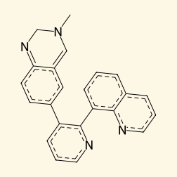 CN1C=c2cc(-c3cccnc3-c3cccc4cccnc34)ccc2=NC1